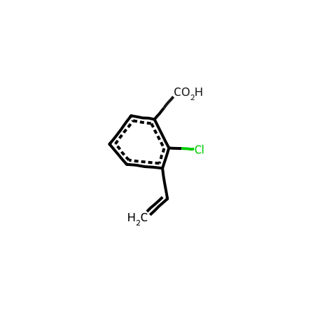 C=Cc1cccc(C(=O)O)c1Cl